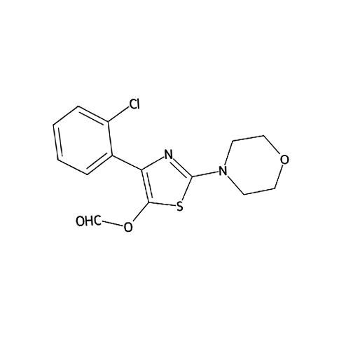 O=COc1sc(N2CCOCC2)nc1-c1ccccc1Cl